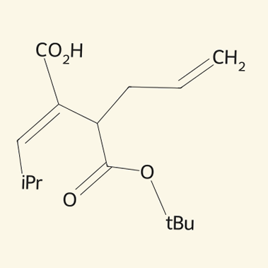 C=CCC(C(=O)OC(C)(C)C)/C(=C\C(C)C)C(=O)O